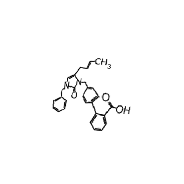 CC=CCc1cn(Cc2ccccc2)c(=O)n1Cc1ccc(-c2ccccc2C(=O)O)cc1